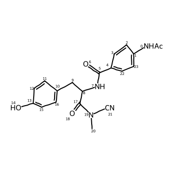 CC(=O)Nc1ccc(C(=O)NC(Cc2ccc(O)cc2)C(=O)N(C)C#N)cc1